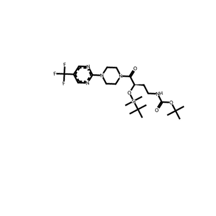 CC(C)(C)OC(=O)NCC[C@@H](O[Si](C)(C)C(C)(C)C)C(=O)N1CCN(c2ncc(C(F)(F)F)cn2)CC1